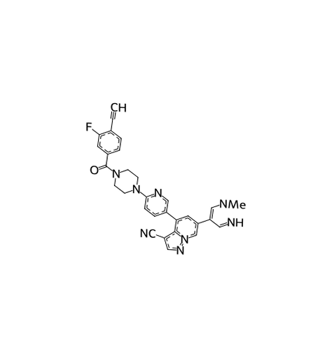 C#Cc1ccc(C(=O)N2CCN(c3ccc(-c4cc(/C(C=N)=C/NC)cn5ncc(C#N)c45)cn3)CC2)cc1F